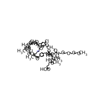 COCCOCCOCCOCCNC(=O)CC[C@H](NC(=O)[C@@H](NC(=O)CCCC(=O)O)C(C)C)C(=O)NCc1ccc([C@H]2O[C@@H]2[C@@H](C)[C@@H]2C/C=C/C(=O)N[C@H](Cc3ccc(OC)c(Cl)c3)C(=O)N[C@@H](C)C(C)(C)C(=O)N[C@@H](CC(C)C)C(=O)O2)cc1